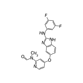 CN(C=O)c1cc(Oc2ccc3[nH]c(Nc4cc(F)cc(F)c4)nc3c2)ccn1